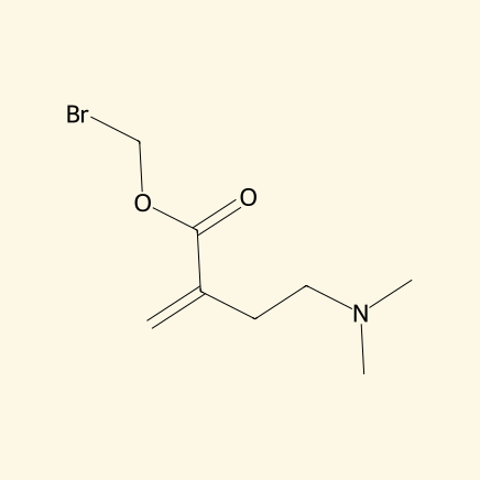 C=C(CCN(C)C)C(=O)OCBr